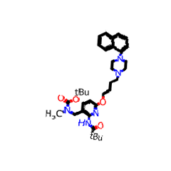 CN(Cc1ccc(OCCCCN2CCN(c3cccc4ccccc34)CC2)nc1NC(=O)C(C)(C)C)C(=O)OC(C)(C)C